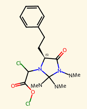 CNN1C(=O)[C@H](CCc2ccccc2)N(C(Cl)C(=O)OCl)C1(NC)NC